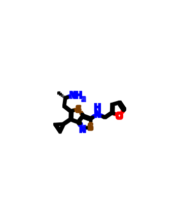 C[C@H](N)Cc1sc2c(NCc3ccco3)snc2c1C1CC1